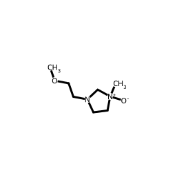 COCCN1CC[N+](C)([O-])C1